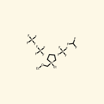 CCOC[N+]1(CC)CCCC1.FC(F)F.F[B-](F)(F)F.F[B-](F)(F)F.F[B-](F)(F)F